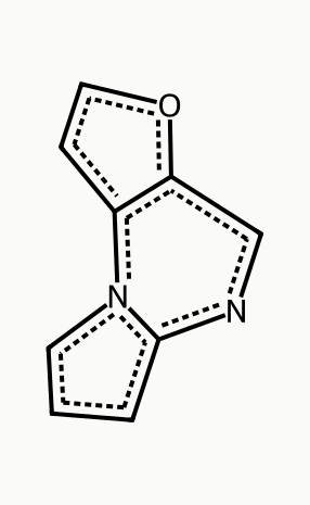 c1cc2ncc3occc3n2c1